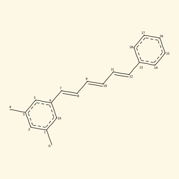 Cc1cc(C)cc(C=CC=CC=Cc2ccccc2)c1